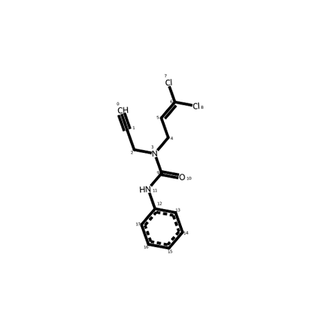 C#CCN(CC=C(Cl)Cl)C(=O)Nc1ccccc1